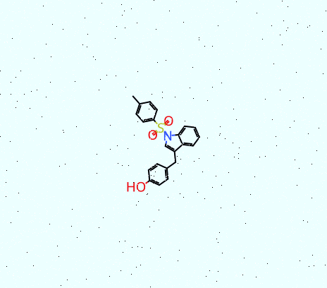 Cc1ccc(S(=O)(=O)n2cc(Cc3ccc(O)cc3)c3ccccc32)cc1